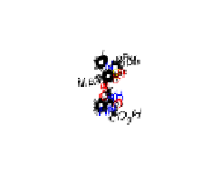 CCCCC1(CCCC)CN(C2=CC=CCC2)c2cc(SC)c(OCC(=O)NC(C(=O)NCC(=O)O)c3ccccc3)cc2S(=O)(=O)C1